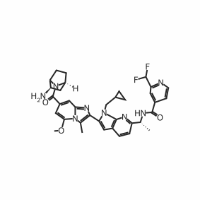 COc1cc(C(=O)N2C3CC[C@H]2C[C@H]3N)cc2nc(-c3cc4ccc([C@@H](C)NC(=O)c5ccnc(C(F)F)c5)nc4n3CC3CC3)c(C)n12